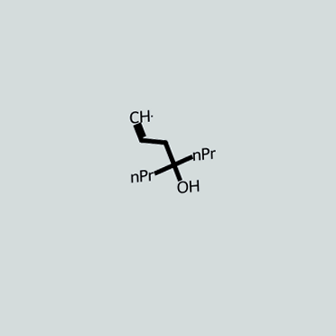 [CH]=CCC(O)(CCC)CCC